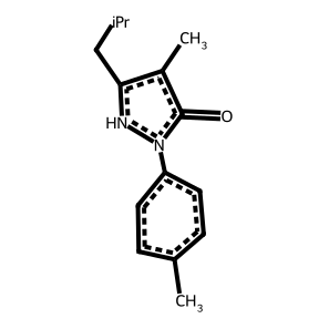 Cc1ccc(-n2[nH]c(CC(C)C)c(C)c2=O)cc1